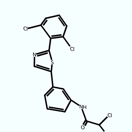 O=C(Nc1cccc(-c2cnc(-c3c(Cl)cccc3Cl)s2)c1)C(Cl)Cl